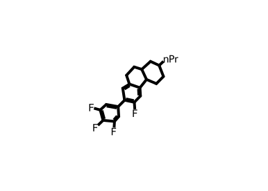 CCCC1CCC2c3cc(F)c(-c4cc(F)c(F)c(F)c4)cc3CCC2C1